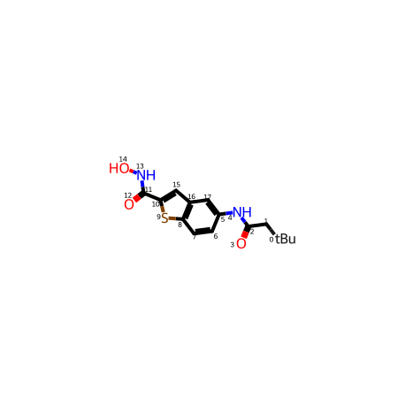 CC(C)(C)CC(=O)Nc1ccc2sc(C(=O)NO)cc2c1